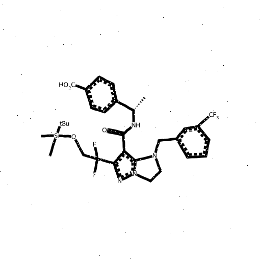 C[C@H](NC(=O)c1c(C(F)(F)CO[Si](C)(C)C(C)(C)C)nn2c1N(Cc1cccc(C(F)(F)F)c1)CC2)c1ccc(C(=O)O)cc1